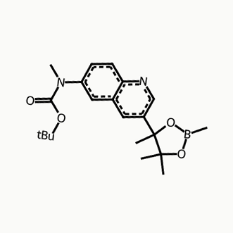 CB1OC(C)(C)C(C)(c2cnc3ccc(N(C)C(=O)OC(C)(C)C)cc3c2)O1